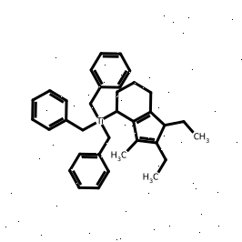 CCC1=C(C)C2=C(CCC[CH]2[Ti]([CH2]c2ccccc2)([CH2]c2ccccc2)[CH2]c2ccccc2)C1CC